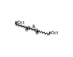 CCCCCCCC/C=C\CCCCCCCC(=O)OCCCCCOC(=O)CCCCCCC/C=C\CCCCCCCC.[Ti]